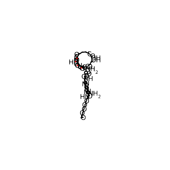 CO[C@H]1C[C@@H]2CC[C@@H](C)[C@@](O)(O2)C(=O)C(=O)N2CCCC[C@H]2C(=O)O[C@H]([C@H](N)C[C@@H]2CC[C@@H](OC(=O)NCc3cnc(N4CCN(c5ncc(C(=O)NCCOCCOCCOCCOCCC(C)=O)c(N)n5)CC4)nc3)[C@H](OC)C2)C[C@@H](OC)[C@H](C)/C=C(\C)[C@@H](O)[C@@H](O)C(=O)[C@H](C)C[C@H](C)/C=C/C=C/C=C/1C